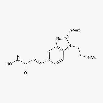 CCCCCc1nc2cc(C=CC(=O)NO)ccc2n1CCNC